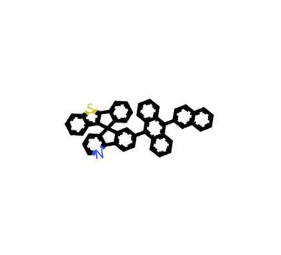 c1ccc2c(c1)-c1sc3ccccc3c1C21c2cc(-c3c4ccccc4c(-c4ccc5ccccc5c4)c4ccccc34)ccc2-c2ncccc21